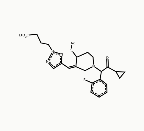 CCOC(=O)CCCn1ncc(/C=C2/CN(C(C(=O)C3CC3)c3ccccc3F)CCC2SC(C)=O)n1